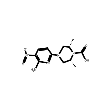 C[C@@H]1CN(c2ccc([N+](=O)[O-])c(N)n2)C[C@H](C)N1C(=O)O